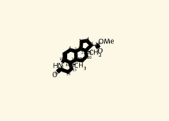 COC(=O)[C@H]1CCC2C3CC=C4NC(=O)CC[C@]4(C)C3CC[C@@]21C